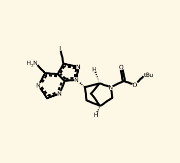 CC(C)(C)OC(=O)N1C[C@@H]2C[C@H]1[C@@H](n1nc(I)c3c(N)ncnc31)C2